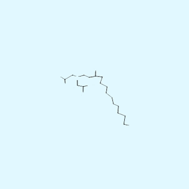 CCCCCCCCCCCC(C)CCP(CC(C)C)CC(C)C